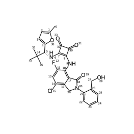 Cc1ccc([C@H](Nc2c(Nc3c(F)cc(Cl)c4c3C(=O)N(c3ccccc3CO)C4)c(=O)c2=O)C(C)(C)C)o1